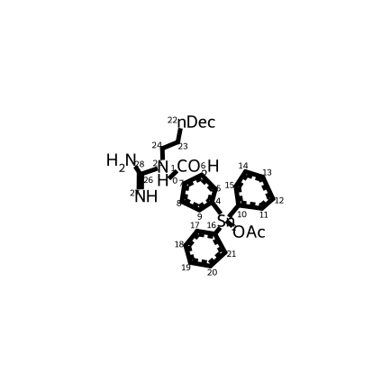 CC(=O)O.CC(=O)[O][Sn]([c]1ccccc1)([c]1ccccc1)[c]1ccccc1.CCCCCCCCCCCCNC(=N)N